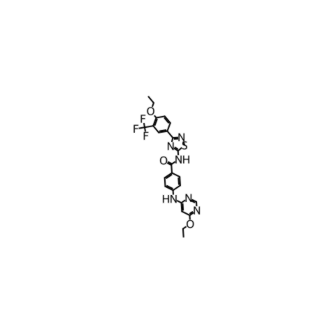 CCOc1cc(Nc2ccc(C(=O)Nc3nc(-c4ccc(OCC)c(C(F)(F)F)c4)ns3)cc2)ncn1